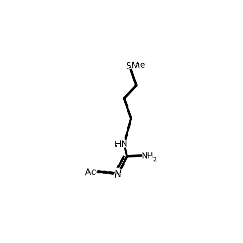 CSCCCN/C(N)=N\C(C)=O